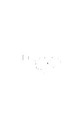 CCC1COC2(COC2)O1